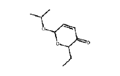 CCC1OC(OC(C)C)C=CC1=O